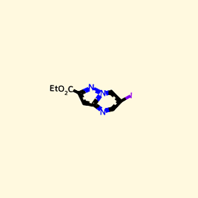 CCOC(=O)c1cc2ncc(I)cn2n1